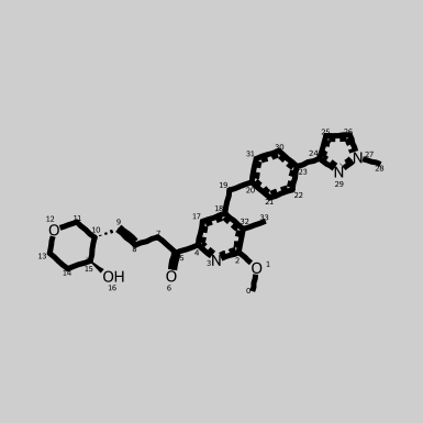 COc1nc(C(=O)C/C=C/[C@H]2COCC[C@@H]2O)cc(Cc2ccc(-c3ccn(C)n3)cc2)c1C